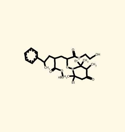 CCCCOC(=O)C(CC(ON1C(C)(CC)CC(=O)C(C)C1(C)CC)C(=O)OCCO)CC(C)c1ccccc1